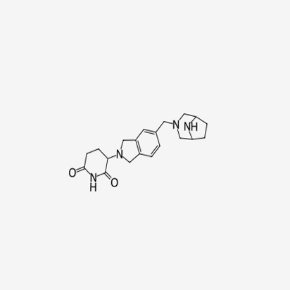 O=C1CCC(N2Cc3ccc(CN4CC5CCC(C4)N5)cc3C2)C(=O)N1